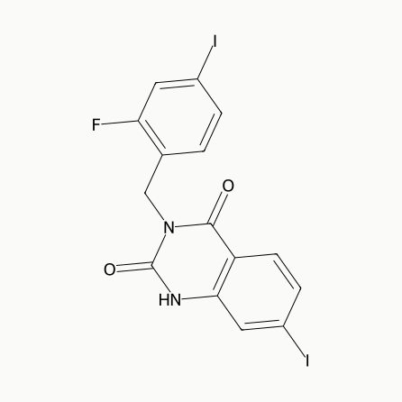 O=c1[nH]c2cc(I)ccc2c(=O)n1Cc1ccc(I)cc1F